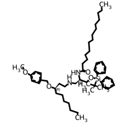 CCCCCCCCCCCCCC(=O)N[C@H](CNCC[C@@H](CCCCCCC)OCc1ccc(OC)cc1)CO[Si](c1ccccc1)(c1ccccc1)C(C)(C)C